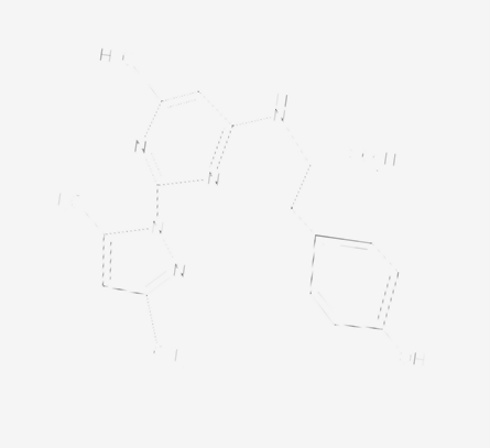 Cc1cc(N[C@@H](Cc2ccc(O)cc2)C(=O)O)nc(-n2nc(C)cc2C)n1